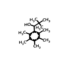 Cc1c(C)c(C)c(C(O)C(C)(C)C)c(C)c1C